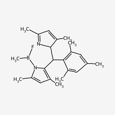 CB(F)n1c(C)cc(C)c1C(c1c(C)cc(C)cc1C)C1N=C(C)C=C1C